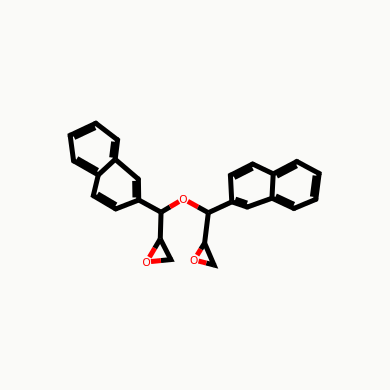 c1ccc2cc(C(OC(c3ccc4ccccc4c3)C3CO3)C3CO3)ccc2c1